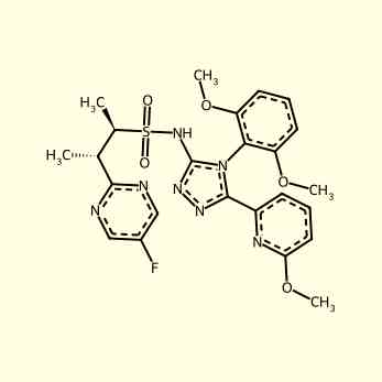 COc1cccc(-c2nnc(NS(=O)(=O)[C@H](C)[C@@H](C)c3ncc(F)cn3)n2-c2c(OC)cccc2OC)n1